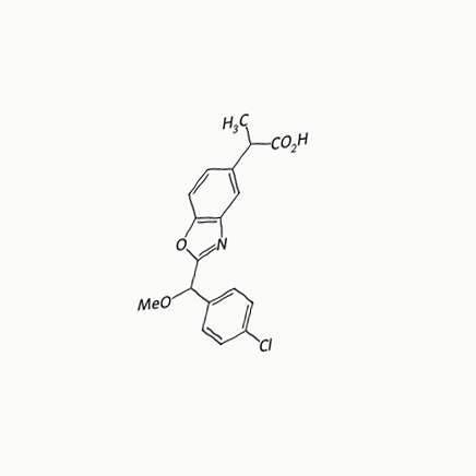 COC(c1ccc(Cl)cc1)c1nc2cc(C(C)C(=O)O)ccc2o1